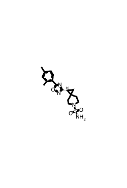 Cc1ccc(-c2nc([C@@H]3CC34CCN(S(N)(=O)=O)CC4)no2)c(C)c1